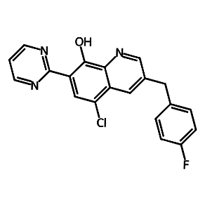 Oc1c(-c2ncccn2)cc(Cl)c2cc(Cc3ccc(F)cc3)cnc12